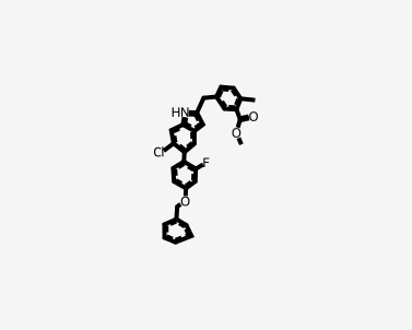 COC(=O)c1cc(Cc2cc3cc(-c4ccc(OCc5ccccc5)cc4F)c(Cl)cc3[nH]2)ccc1C